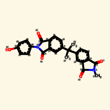 CN1C(=O)c2ccc(C(c3ccc4c(c3)C(=O)N(c3ccc(O)cc3)C4=O)(C(F)(F)F)C(F)(F)F)cc2C1=O